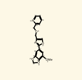 COc1cc(-c2nc(COCc3ccccn3)co2)cc2c1OCO2